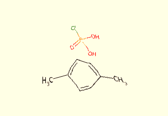 Cc1ccc(C)cc1.O=P(O)(O)Cl